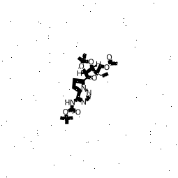 CC[C@]1(COC(C)=O)O[C@@H](c2ccc3c(NC(=O)OC(C)(C)C)ncnn23)[C@@H]2OC(C)(C)O[C@@H]21